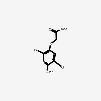 COC(=O)CSc1cc(Cl)c(OC)nc1C(C)C